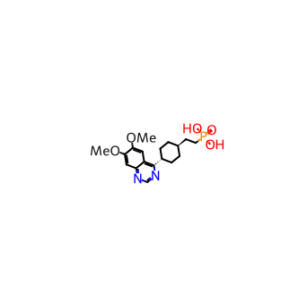 COc1cc2ncnc([C@H]3CC[C@H](CCP(=O)(O)O)CC3)c2cc1OC